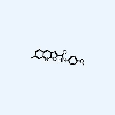 COc1ccc(NC(=O)c2cc3cc4ccc(C)cc4nc3o2)cc1